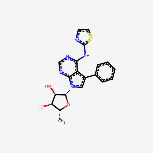 C[C@H]1O[C@@H](n2cc(-c3ccccc3)c3c(Nc4nccs4)ncnc32)[C@H](O)[C@@H]1O